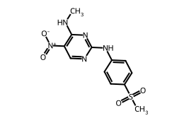 CNc1nc(Nc2ccc(S(C)(=O)=O)cc2)ncc1[N+](=O)[O-]